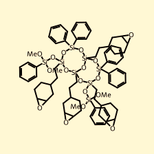 CO[Si](OC)(O[Si]1(CCC2CCC3OC3C2)O[Si]2(CCC3CCC4OC4C3)O[Si](CCC3CCC4OC4C3)(O[Si](OC)(OC)c3ccccc3)O[Si](c3ccccc3)(c3ccccc3)O[Si](CCC3CCC4OC4C3)(O2)O[Si](c2ccccc2)(c2ccccc2)O1)c1ccccc1